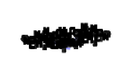 CCOc1cc2ncc(C#N)c(Nc3ccc(OCc4ccccn4)c(Cl)c3)c2cc1C(/C=C/CNC(=O)/C=C\C(=O)OC(N)/C=C/C(c1cc2c(Nc3ccc(OCc4ccccn4)c(Cl)c3)c(C#N)cnc2cc1OCC)N(C)C)N(C)C